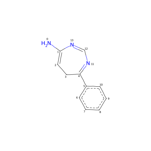 NC1=CCC(c2ccccc2)=NC=N1